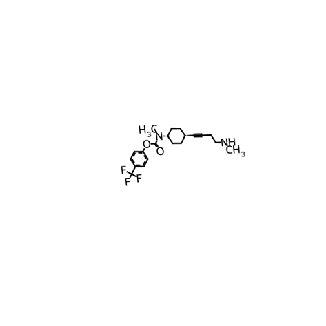 CNCCC#C[C@H]1CC[C@H](N(C)C(=O)Oc2ccc(C(F)(F)F)cc2)CC1